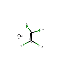 FC(F)=C(F)F.[Cu]